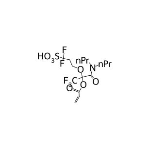 C=CC(=O)OC(OCCC(F)(F)S(=O)(=O)O)(C(=O)N(CCC)CCC)C(F)(F)F